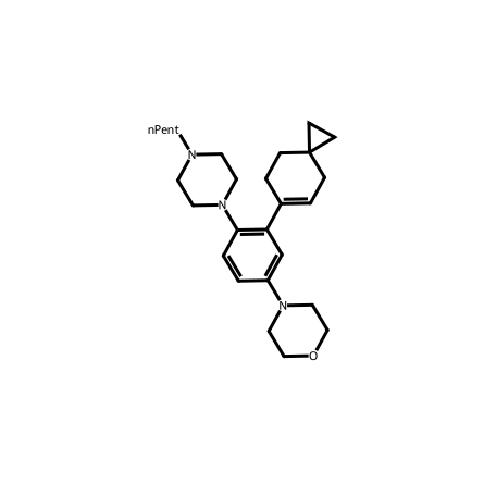 CCCCCN1CCN(c2ccc(N3CCOCC3)cc2C2=CCC3(CC2)CC3)CC1